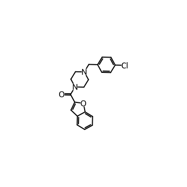 O=C(c1cc2ccccc2o1)N1CCN(Cc2ccc(Cl)cc2)CC1